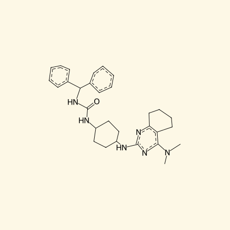 CN(C)c1nc(NC2CCC(NC(=O)NC(c3ccccc3)c3ccccc3)CC2)nc2c1CCCC2